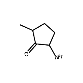 CCCC1CCC(C)C1=O